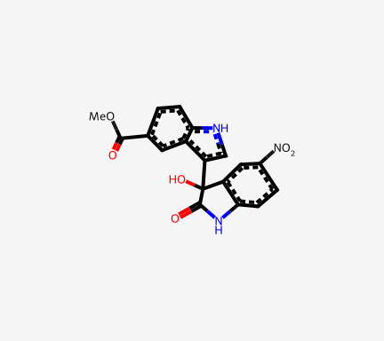 COC(=O)c1ccc2[nH]cc(C3(O)C(=O)Nc4ccc([N+](=O)[O-])cc43)c2c1